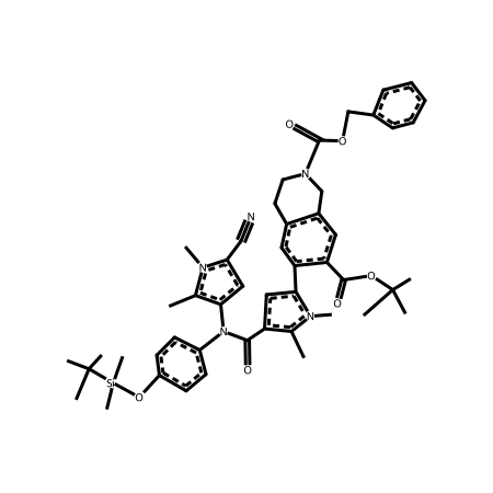 Cc1c(N(C(=O)c2cc(-c3cc4c(cc3C(=O)OC(C)(C)C)CN(C(=O)OCc3ccccc3)CC4)n(C)c2C)c2ccc(O[Si](C)(C)C(C)(C)C)cc2)cc(C#N)n1C